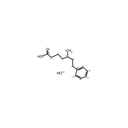 CN(CCCC(=O)O)CCc1ccccc1.Cl